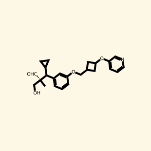 C[C@@](C=O)(CO)C(c1cccc(OCC2CC(Oc3cccnc3)C2)c1)C1CC1